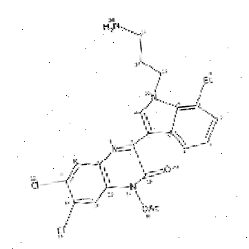 CCc1cccc2c(-c3nc4cc(Cl)c(Cl)cc4n(OC(C)=O)c3=O)cn(CCCN)c12